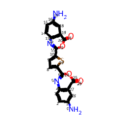 Nc1ccc2nc(-c3ccc(-c4nc5ccc(N)cc5c(=O)o4)s3)oc(=O)c2c1